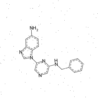 Nc1ccc2c(c1)ncn2-c1cncc(NCc2ccccc2)n1